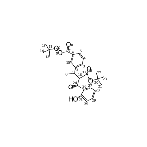 CC(c1cccc(C(=O)OOC(C)(C)C)c1)C(C(=O)OC(C)(C)C)C(=O)c1ccccc1O